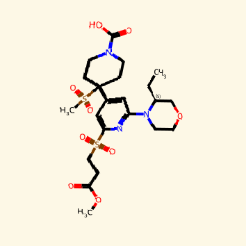 CC[C@H]1COCCN1c1cc(C2(S(C)(=O)=O)CCN(C(=O)O)CC2)cc(S(=O)(=O)CCC(=O)OC)n1